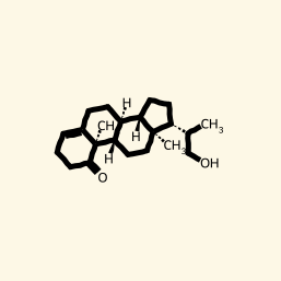 CC(CO)[C@H]1CC[C@H]2[C@@H]3CCC4=CCCC(=O)[C@]4(C)[C@H]3CC[C@]12C